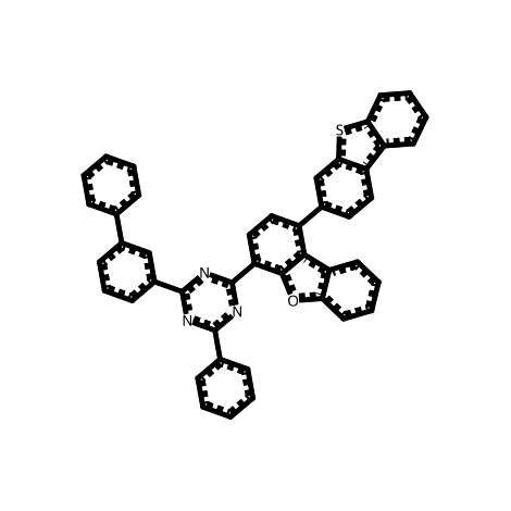 c1ccc(-c2cccc(-c3nc(-c4ccccc4)nc(-c4ccc(-c5ccc6c(c5)sc5ccccc56)c5c4oc4ccccc45)n3)c2)cc1